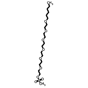 CCCCCCOCCOCCOCCOCCOCCOCCOS(C)(=O)=O